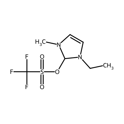 CCN1C=CN(C)C1OS(=O)(=O)C(F)(F)F